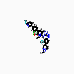 CCN1CCC(c2ccc(Nc3ncc4cc(-c5ccc(-c6ccc(F)nc6)cc5Cl)c(=O)n(CC)c4n3)cc2F)CC1